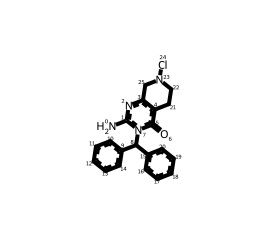 Nc1nc2c(c(=O)n1C(c1ccccc1)c1ccccc1)CCN(Cl)C2